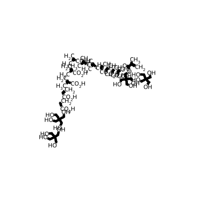 C=C(C)C(=O)O.C=C(C)C(=O)O.C=C(C)C(=O)O.C=C(C)C(=O)O.C=C(C)C(=O)O.C=C(C)C(=O)OCC(CO)(CO)CO.C=CC(=O)O.C=CC(=O)O.C=CC(=O)O.C=CC(=O)O.C=CC(=O)O.C=CC(=O)O.OCC(CO)(CO)CO.OCC(CO)(CO)CO.OCC(CO)(CO)CO